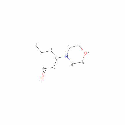 CCCC(C[C]=O)N1CCOCC1